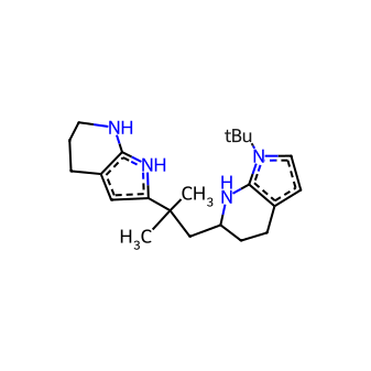 CC(C)(CC1CCc2ccn(C(C)(C)C)c2N1)c1cc2c([nH]1)NCCC2